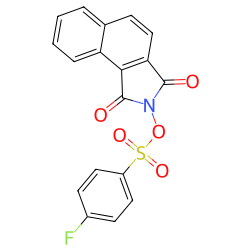 O=C1c2ccc3ccccc3c2C(=O)N1OS(=O)(=O)c1ccc(F)cc1